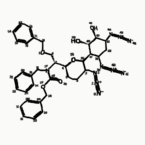 [N-]=[N+]=NC1CC[C@@H]([C@@H](COCc2ccccc2)N(Cc2ccccc2)C(=O)OCc2ccccc2)OC1[C@@H]1C(N=[N+]=[N-])CC(N=[N+]=[N-])[C@H](O)[C@H]1O